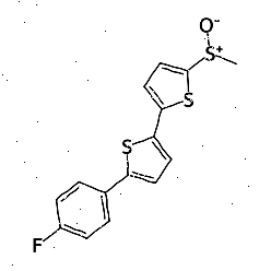 C[S+]([O-])c1ccc(-c2ccc(-c3ccc(F)cc3)s2)s1